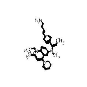 C=C/C=C(\c1cc(N(C)/C(=C/C)c2ccc(/C=C/CCN)cc2)ccc1N(C)CC)N1CCCCC1